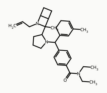 C=CCN1C2CCC2C1(C)C1CCCN1C(C1=CC(C)=CCC1)c1ccc(C(=O)N(CC)CC)cc1